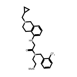 CNCCN(Cc1ccccc1C(F)(F)F)C(=O)CNc1cccc2c1CCN(CC1CC1)C2